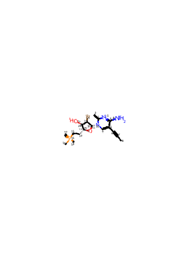 C=C1N=C(N)C(C#CC)=CN1[C@@H]1O[C@H](CCP(=C)(C)C)[C@@H](O)C1Br